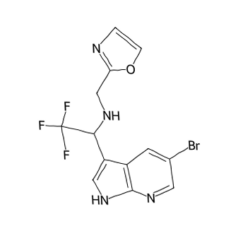 FC(F)(F)C(NCc1ncco1)c1c[nH]c2ncc(Br)cc12